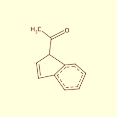 CC(=O)C1[C]=Cc2ccccc21